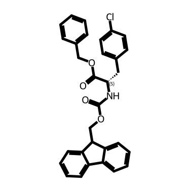 O=C(N[C@@H](Cc1ccc(Cl)cc1)C(=O)OCc1ccccc1)OCC1c2ccccc2-c2ccccc21